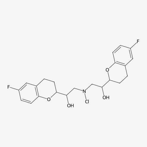 OC(CN(Cl)CC(O)C1CCc2cc(F)ccc2O1)C1CCc2cc(F)ccc2O1